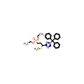 CCOP(=O)(CCC(SC)c1ncn(C(c2ccccc2)(c2ccccc2)c2ccccc2)n1)OCC